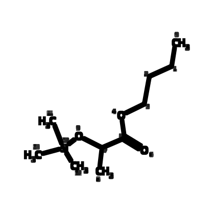 CCCCOC(=O)C(C)O[Si](C)(C)C